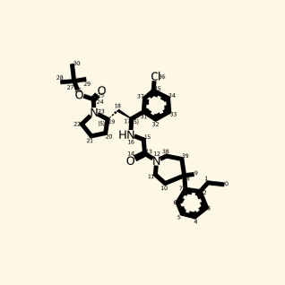 CCc1ccccc1C1(C)CCN(C(=O)CN[C@@H](C[C@@H]2CCCN2C(=O)OC(C)(C)C)c2cccc(Cl)c2)CC1